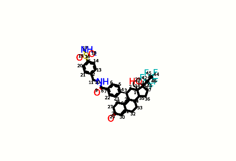 C[C@]12C[C@H](c3ccc(C(=O)NCc4ccc(S(N)(=O)=O)cc4)cc3)C3=C4CCC(=O)C=C4CCC3C1CC[C@]2(O)C(F)(F)C(F)(F)F